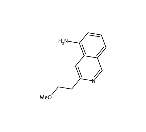 COCCc1cc2c(N)cccc2cn1